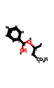 CC(CC(=O)O)OC(O)c1ccccc1